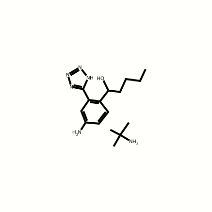 CC(C)(C)N.CCCCC(O)c1ccc(N)cc1-c1nnn[nH]1